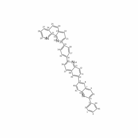 c1ccc(-c2ccc3cc(-c4ccc5nc(-c6ccc(-c7ccc8ccc9cccnc9c8n7)cc6)ccc5c4)ccc3n2)cc1